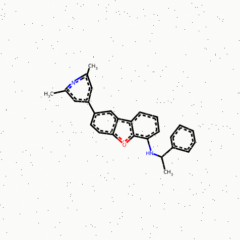 Cc1cc(-c2ccc3oc4c(NC(C)c5ccccc5)cccc4c3c2)cc(C)n1